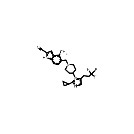 Cc1c(CN2CCC(n3c(CCC(F)(F)F)cnc3C3CC3)CC2)ccc2[nH]c(C#N)cc12